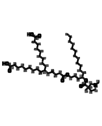 CCCCCCCCCCCCC(CCCOC(=O)CCCCC(CCCCCCCCC(=O)O)CCCCCCCCC(=O)O)OC(=O)C1(C)CCN(C)C1